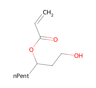 C=CC(=O)OC(CCO)CCCCC